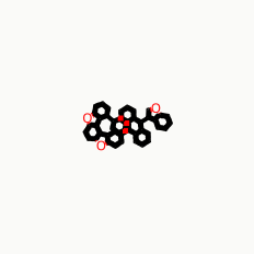 c1ccc(-c2cccc3oc4ccc5oc6ccc(-c7c8ccccc8c(-c8coc9ccccc89)c8ccccc78)cc6c5c4c23)cc1